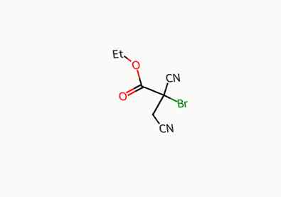 CCOC(=O)C(Br)(C#N)CC#N